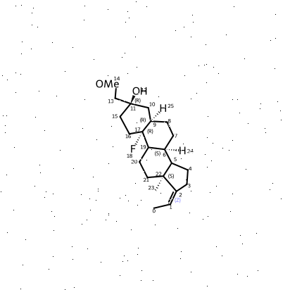 C/C=C1/CCC2[C@@H]3CC[C@@H]4C[C@@](O)(COC)CC[C@]4(F)C3CC[C@]12C